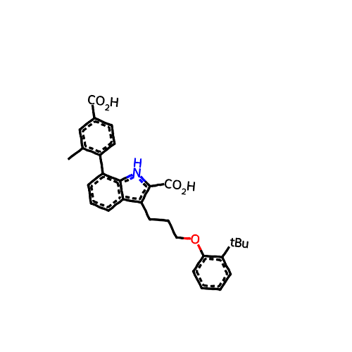 Cc1cc(C(=O)O)ccc1-c1cccc2c(CCCOc3ccccc3C(C)(C)C)c(C(=O)O)[nH]c12